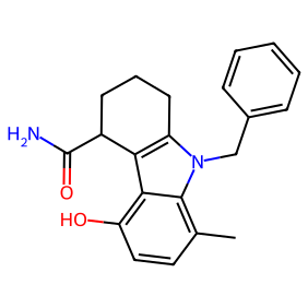 Cc1ccc(O)c2c3c(n(Cc4ccccc4)c12)CCCC3C(N)=O